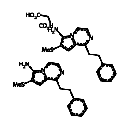 CSc1cc2c(CCc3ccccc3)nccn2c1N.CSc1cc2c(CCc3ccccc3)nccn2c1N.O=C(O)CC(=O)O